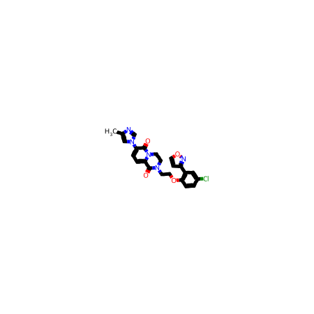 Cc1cn(-c2ccc3n(c2=O)CCN(CCOc2ccc(Cl)cc2-c2ccon2)C3=O)cn1